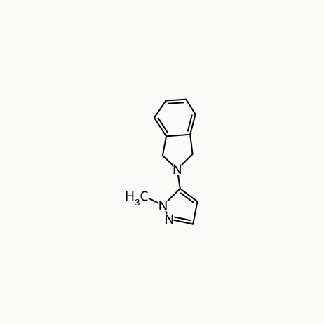 Cn1nccc1N1Cc2ccccc2C1